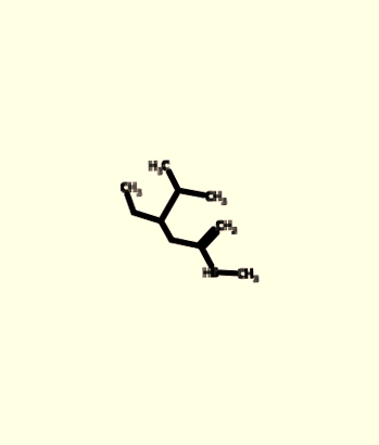 C=C(BC)CC(CC)C(C)C